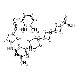 Cc1nc(Nc2ncc(C(=O)Nc3c(C)cccc3Cl)s2)cc(N2CCN(C3CN(C4CN(C(=O)O)C4)C3)CC2)n1